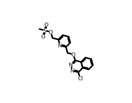 CS(=O)(=O)OCc1cccc(COc2nnc(Cl)c3ccccc23)n1